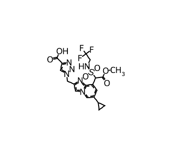 COC(=O)C(c1cc(C2CC2)cn2cc(Cn3cc(C(=O)O)nn3)nc12)S(=O)(=O)NCC(F)(F)F